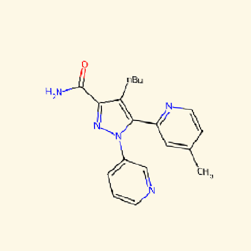 CCCCc1c(C(N)=O)nn(-c2cccnc2)c1-c1cc(C)ccn1